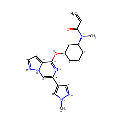 C=CC(=O)N(C)[C@H]1CCC[C@@H](Oc2nc(-c3cnn(C)c3)cn3nccc23)C1